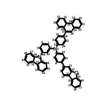 c1cc(N(c2ccc(-c3ccc4c(c3)oc3ccccc34)cc2)c2ccc(-c3cc4ccccc4c4ccccc34)cc2)cc(-n2c3ccccc3c3ccccc32)c1